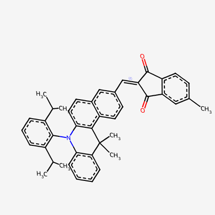 Cc1ccc2c(c1)C(=O)/C(=C\c1ccc3c4c(ccc3c1)N(c1c(C(C)C)cccc1C(C)C)c1ccccc1C4(C)C)C2=O